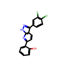 Oc1ccccc1-c1ccc2c(-c3ccc(Cl)c(F)c3)n[nH]c2n1